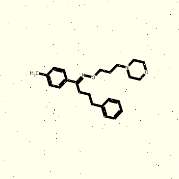 Cc1ccc(C(CCCc2ccccc2)=NOCCCN2CCOCC2)cc1